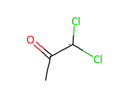 CC(=O)[C](Cl)Cl